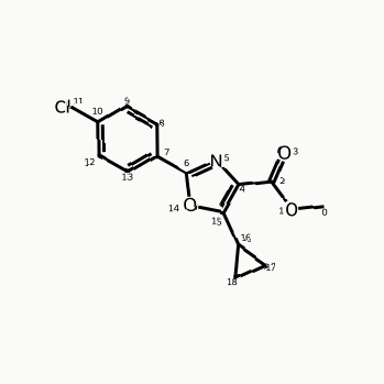 COC(=O)c1nc(-c2ccc(Cl)cc2)oc1C1CC1